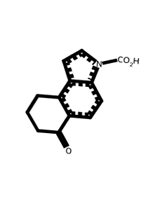 O=C1CCCc2c1ccc1c2ccn1C(=O)O